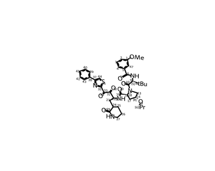 COc1cccc(C(=O)N[C@H](C(=O)N2C[C@H](OC(C)C)C[C@H]2C(=O)NC(CC2CCCNC2=O)C(=O)C(=O)c2nc(-c3ccccc3)cs2)C(C)(C)C)c1